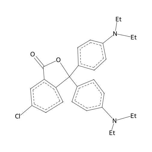 CCN(CC)c1ccc(C2(c3ccc(N(CC)CC)cc3)OC(=O)c3cc(Cl)ccc32)cc1